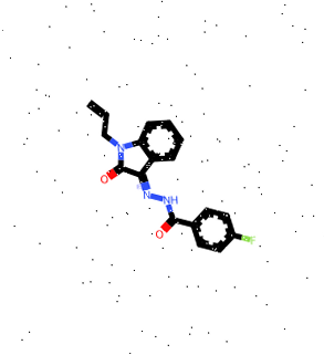 C=CCN1C(=O)/C(=N/NC(=O)c2ccc(F)cc2)c2ccccc21